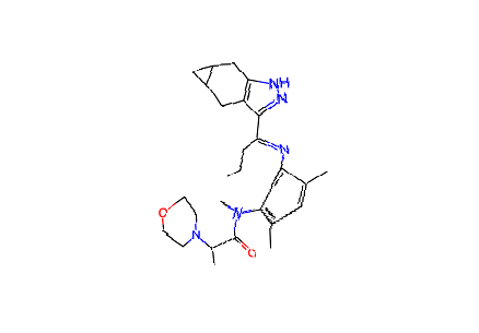 CCC/C(=N\c1cc(N(C)C(=O)C(C)N2CCOCC2)c(C)cc1C)c1n[nH]c2c1CC1CC1C2